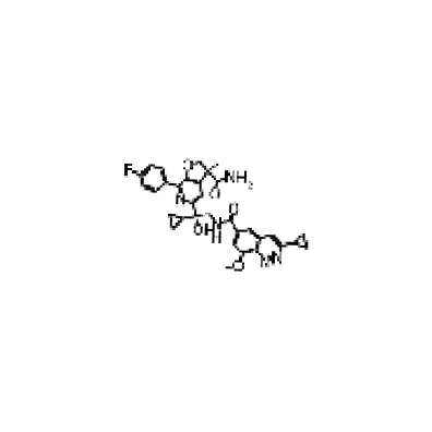 COc1cc(C(=O)NC[C@](O)(c2cc3c(c(-c4ccc(F)cc4)n2)OC[C@]3(C)C(N)=O)C2CC2)cc2cc(C3CC3)nnc12